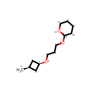 C[C@H]1C[C@@H](OCCCOC2CCCCO2)C1